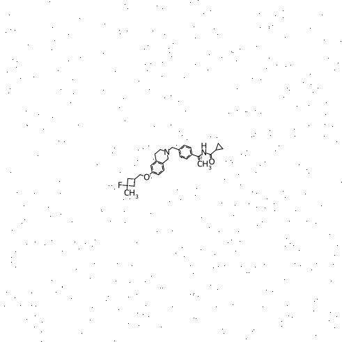 C[C@H](NC(=O)C1CC1)c1ccc(CN2CCc3cc(OCC4CC(C)(F)C4)ccc3C2)cc1